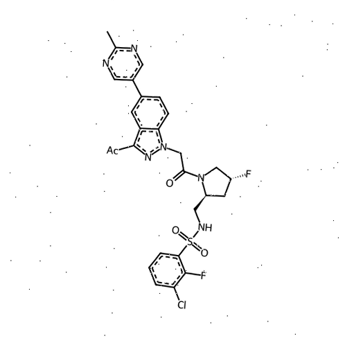 CC(=O)c1nn(CC(=O)N2C[C@H](F)C[C@H]2CNS(=O)(=O)c2cccc(Cl)c2F)c2ccc(-c3cnc(C)nc3)cc12